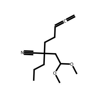 C=C=CCCC(C#N)(CCC)CC(OC)OC